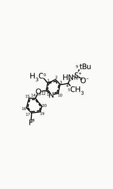 Cc1cc(C(C)N[S@+]([O-])C(C)(C)C)cnc1Oc1ccc(F)cc1